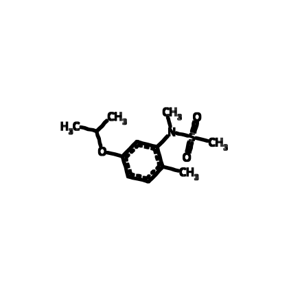 Cc1ccc(OC(C)C)cc1N(C)S(C)(=O)=O